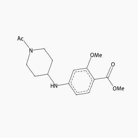 COC(=O)c1ccc(NC2CCN(C(C)=O)CC2)cc1OC